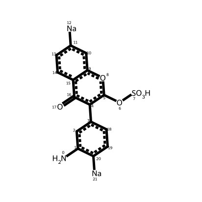 Nc1cc(-c2c(OS(=O)(=O)O)oc3c[c]([Na])ccc3c2=O)cc[c]1[Na]